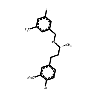 COc1cc(CC[C@@H](C)NCc2cc(C(F)(F)F)cc(C(F)(F)F)c2)ccc1O